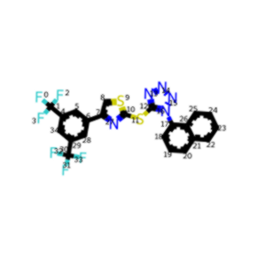 FC(F)(F)c1cc(-c2csc(Sc3nnnn3-c3cccc4ccccc34)n2)cc(C(F)(F)F)c1